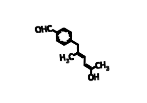 C/C(O)=C\C=C(/C)Cc1ccc(C=O)cc1